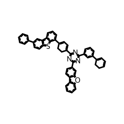 C1=CCCC(c2cccc(-c3nc(C4=CC=C(c5cccc6c5sc5ccc(-c7ccccc7)cc56)CC4)nc(-c4ccc5c(c4)oc4ccccc45)n3)c2)=C1